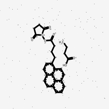 CCCC(=O)O.O=C(CCCc1ccc2ccc3cccc4ccc1c2c34)ON1C(=O)CCC1=O